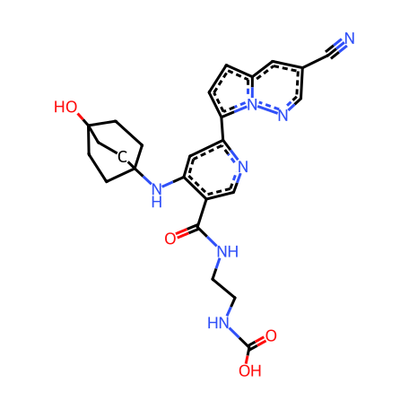 N#Cc1cnn2c(-c3cc(NC45CCC(O)(CC4)CC5)c(C(=O)NCCNC(=O)O)cn3)ccc2c1